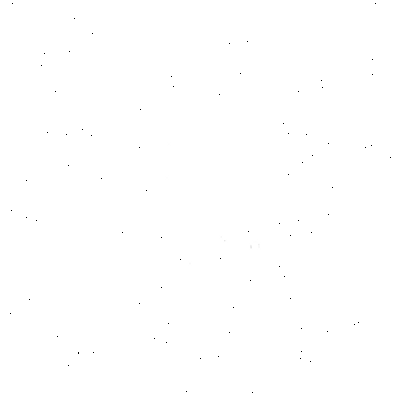 CSCCC([O])=O